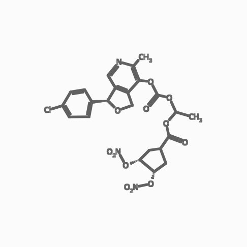 Cc1ncc2c(c1OC(=O)OC(C)OC(=O)C1C[C@H](O[N+](=O)[O-])[C@H](O[N+](=O)[O-])C1)CO[C@H]2c1ccc(Cl)cc1